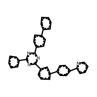 c1ccc(-c2ccc(-c3nc(-c4ccccc4)nc(-c4cccc(-c5ccc(-c6ccccn6)cc5)c4)n3)cc2)cc1